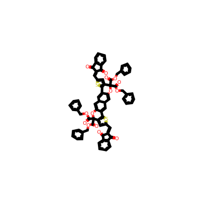 O=C1C(=Cc2cc3c(s2)C2=CC4C=C5OC(C(=O)OCc6ccccc6)(C(=O)OCc6ccccc6)c6cc(C=C7C(=O)c8ccccc8C7=O)sc6C5=CC4C=C2OC3(C(=O)OCc2ccccc2)C(=O)OCc2ccccc2)C(=O)c2ccccc21